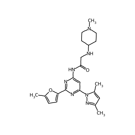 Cc1cc(C)n(-c2cc(NC(=O)CNC3CCN(C)CC3)nc(-c3ccc(C)o3)n2)n1